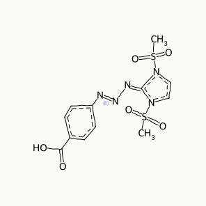 CS(=O)(=O)n1ccn(S(C)(=O)=O)c1=N/N=N/c1ccc(C(=O)O)cc1